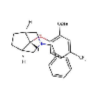 COc1cc(C(F)(F)F)ccc1O[C@@H]1[C@@H]2CC[C@H]1CN(Cc1ccccc1)C2